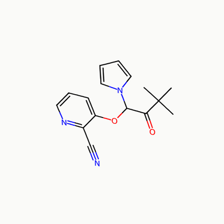 CC(C)(C)C(=O)C(Oc1cccnc1C#N)n1cccc1